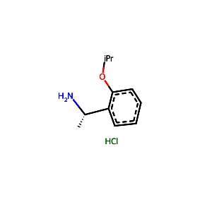 CC(C)Oc1ccccc1[C@H](C)N.Cl